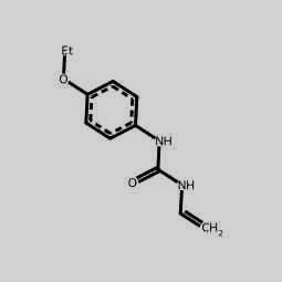 C=CNC(=O)Nc1ccc(OCC)cc1